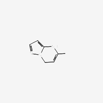 CC1=CCn2nccc2N1